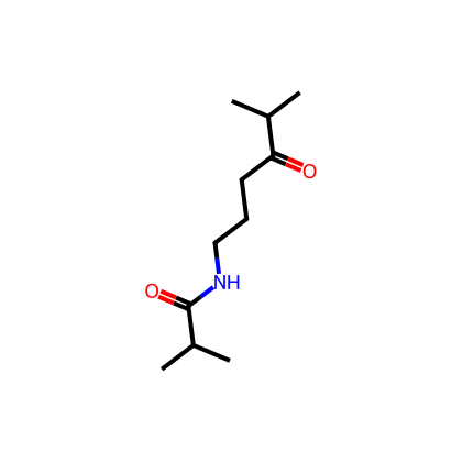 CC(C)C(=O)CCCNC(=O)C(C)C